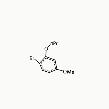 CCCOc1cc(OC)ccc1Br